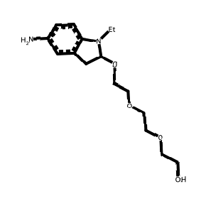 CCN1c2ccc(N)cc2CC1OCCOCCOCCO